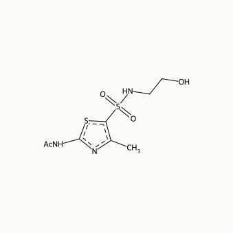 CC(=O)Nc1nc(C)c(S(=O)(=O)NCCO)s1